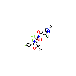 C[C@@]1(C2CC2)COc2c1cc([C@@](O)(CNC(=O)c1cc(Cl)c3nn(C4CC4)cc3c1)C(F)(F)F)nc2-c1ccc(F)cc1